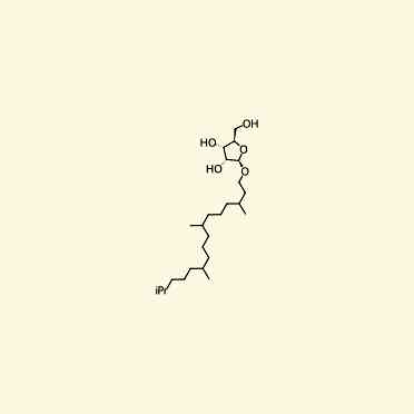 CC(C)CCCC(C)CCCC(C)CCCC(C)CCO[C@@H]1O[C@H](CO)[C@@H](O)[C@H]1O